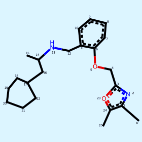 Cc1nc(COc2ccccc2CNC(C)CC2CCCCC2)oc1C